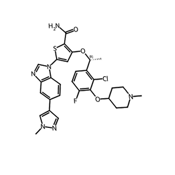 C[C@@H](Oc1cc(-n2cnc3cc(-c4cnn(C)c4)ccc32)sc1C(N)=O)c1ccc(F)c(OC2CCN(C)CC2)c1Cl